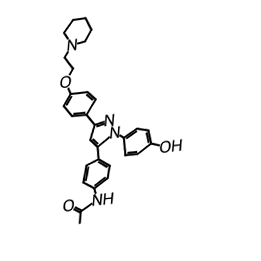 CC(=O)Nc1ccc(-c2cc(-c3ccc(OCCN4CCCCC4)cc3)nn2-c2ccc(O)cc2)cc1